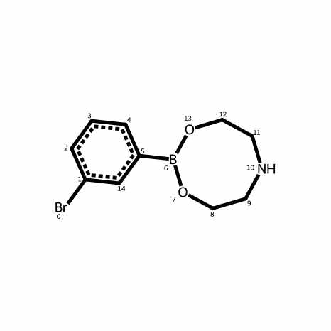 Brc1cccc(B2OCCNCCO2)c1